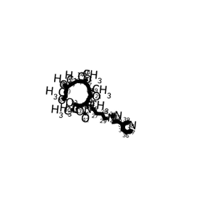 CC[C@H]1OC(=O)[C@H](C)C(=O)[C@H](C)C[C@](C)(OC)C[C@@H](C)C(=O)[C@H](C)[C@@H]2N(CCCCn3cnc(-c4cccnc4)c3)C(=O)O[C@@]21C